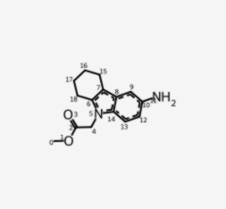 COC(=O)Cn1c2c(c3cc(N)ccc31)CCCC2